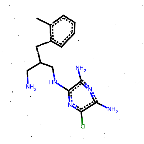 Cc1ccccc1CC(CN)CNc1nc(Cl)c(N)nc1N